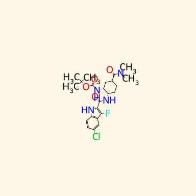 CN(C)C(=O)[C@H]1CC[C@H](NC(=O)c2[nH]c3ccc(Cl)cc3c2F)[C@H](NC(=O)OC(C)(C)C)C1